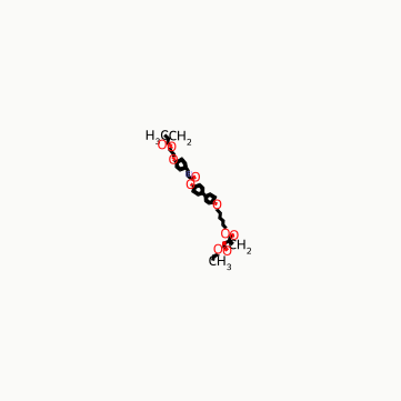 C=C(C)C(=O)OCCOc1ccc(/C=C/C(=O)Oc2ccc(-c3ccc(OCCCCCCOC(=O)C(=C)CC(=O)OCCC)cc3)cc2)cc1